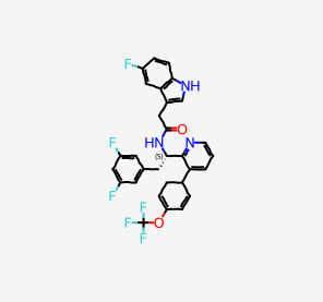 O=C(Cc1c[nH]c2ccc(F)cc12)N[C@@H](Cc1cc(F)cc(F)c1)c1ncccc1C1C=CC(OC(F)(F)F)=CC1